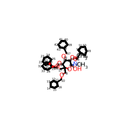 CON(C)[C@]1(O)OC(COCc2ccccc2)(COCc2ccccc2)[C@@H](OCc2ccccc2)[C@H](OCc2ccccc2)[C@H]1OCc1ccccc1